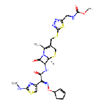 CC(C)(C)OC(=O)NCc1nnc(SCC2=C(C(=O)O)N3C(=O)C(NC(=O)C(=NOC4C=CCC4)c4csc(NC=O)n4)[C@@H]3SC2)s1